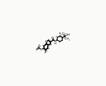 CC(C)(O)C1CCC(NC(=O)c2cnc3cc(OC(F)F)c(F)cc3c2)CC1